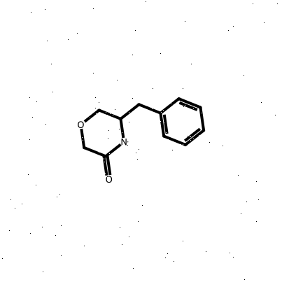 O=C1COCC(Cc2ccccc2)[N]1